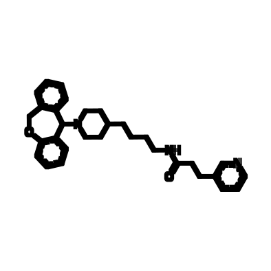 O=C(CCc1cccnc1)NCCCCC1CCN(C2c3ccccc3COc3ccccc32)CC1